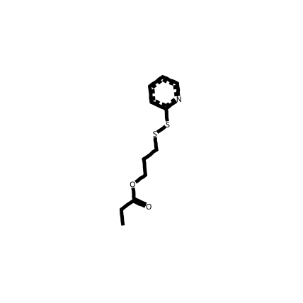 CCC(=O)OCCCSSc1ccccn1